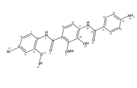 COc1c(C(=O)Nc2ccc(C(C)=O)cc2OC(C)C)ccc(NC(=O)c2ccc(N)cc2)c1O